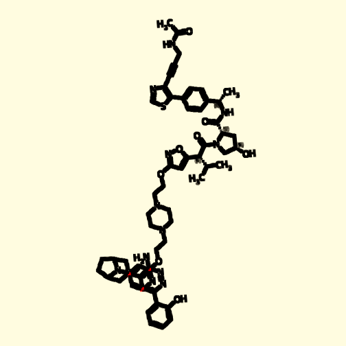 CC(=O)NCC#Cc1ncsc1-c1ccc([C@H](C)NC(=O)[C@@H]2C[C@@H](O)CN2C(=O)[C@@H](c2cc(OCCN3CCN(CCOc4cc(N5C6CCC5CN(c5cc(-c7ccccc7O)nnc5N)C6)ccn4)CC3)no2)C(C)C)cc1